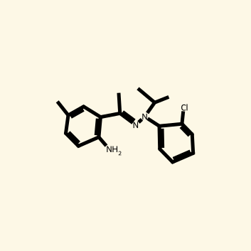 C/C(=N\N(c1ccccc1Cl)C(C)C)c1cc(C)ccc1N